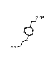 CCCCCCCCCc1ccc(OCCOC)cc1